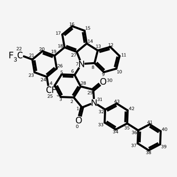 O=C1c2cccc(-n3c4ccccc4c4cccc(-c5cc(C(F)(F)F)cc(C(F)(F)F)c5)c43)c2C(=O)N1c1ccc(-c2ccccc2)cc1